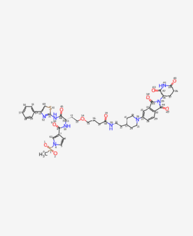 CS(=O)(=O)n1ccc(C(=O)N[C@@H](CCOCCCC(=O)NCCC2CCN(c3ccc4c(c3)C(=O)N(C3CCC(=O)NC3=O)C4=O)CC2)C(=O)Nc2nc(-c3ccccc3)cs2)c1